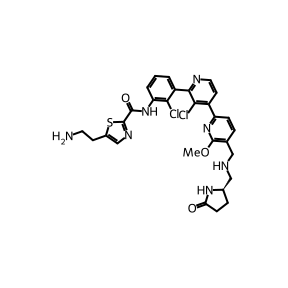 COc1nc(-c2ccnc(-c3cccc(NC(=O)c4ncc(CCN)s4)c3Cl)c2Cl)ccc1CNC[C@H]1CCC(=O)N1